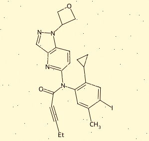 CCC#CC(=O)N(c1ccc2c(cnn2C2COC2)n1)c1cc(C)c(I)cc1C1CC1